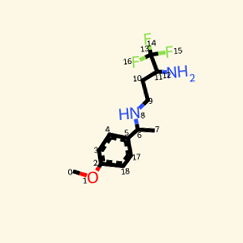 COc1ccc(C(C)NCCC(N)C(F)(F)F)cc1